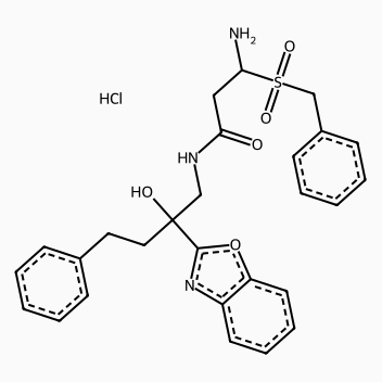 Cl.NC(CC(=O)NCC(O)(CCc1ccccc1)c1nc2ccccc2o1)S(=O)(=O)Cc1ccccc1